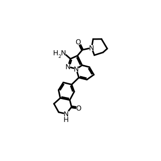 Nc1nn2c(-c3ccc4c(c3)C(=O)NCC4)cccc2c1C(=O)N1CCCCC1